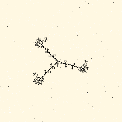 CC(=O)NC1C(OCCCCC(=O)NCCCNC(=O)CCOCC(N)(COCCC(=O)NCCCNC(=O)CCCCOC2CC(COC(C)=O)C(OC(C)=O)C(OC(C)=O)C2NC(C)=O)COCCC(=O)NCCCNC(=O)CCCCOC2CC(COC(C)=O)C(OC(C)=O)C(OC(C)=O)C2NC(C)=O)CC(COC(C)=O)C(OC(C)=O)C1OC(C)=O